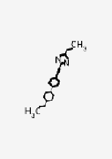 CCCc1cnc(C#Cc2ccc([C@H]3CC[C@H](CCC)CC3)cc2)nc1